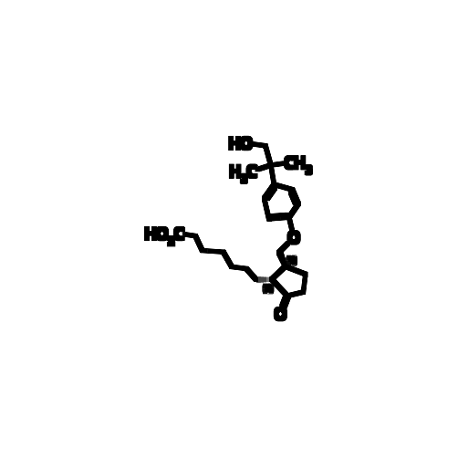 CC(C)(CO)c1ccc(OC[C@H]2CCC(=O)[C@@H]2CCCCCCC(=O)O)cc1